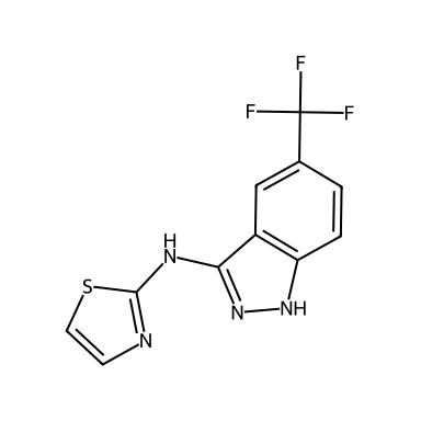 FC(F)(F)c1ccc2[nH]nc(Nc3nccs3)c2c1